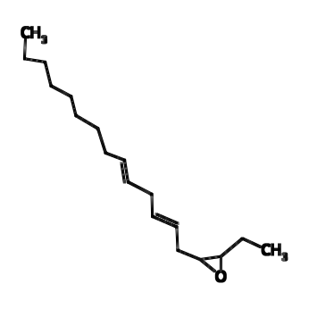 CCCCCCCCC=CCC=CCC1OC1CC